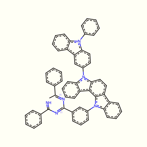 C/C(=N\C(=N/C(=N)c1ccccc1)c1cccc(-n2c3ccccc3c3ccc4c(c5ccccc5n4-c4ccc5c(c4)c4ccccc4n5-c4ccccc4)c32)c1)c1ccccc1